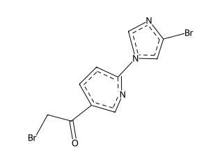 O=C(CBr)c1ccc(-n2cnc(Br)c2)nc1